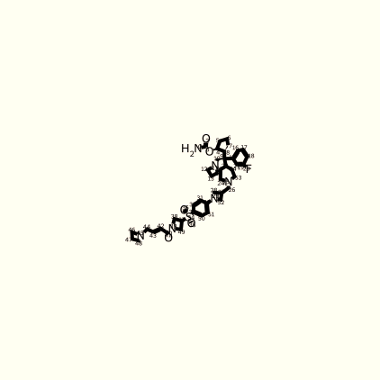 NC(=O)O[C@H]1CCC[C@@H]1[C@](CN1CCC1)(c1cccc(F)c1)C1CCN(CC2CN(c3ccc(S(=O)(=O)C4CN(C(=O)/C=C/CN5CCC5)C4)cc3)C2)CC1